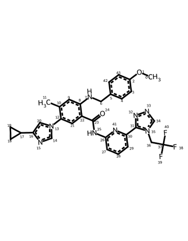 COc1ccc(CNc2cc(C)c(-n3cnc(C4CC4)c3)cc2C(=O)Nc2cccc(-c3nncn3CC(F)(F)F)n2)cc1